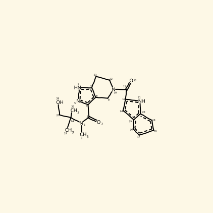 CN(C(=O)c1n[nH]c2c1CN(C(=O)c1cc3ccccc3[nH]1)CC2)C(C)(C)CO